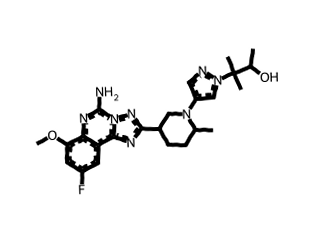 COc1cc(F)cc2c1nc(N)n1nc(C3CCC(C)N(c4cnn(C(C)(C)C(C)O)c4)C3)nc21